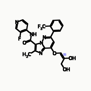 Cc1nc2c(O/C=C(/O)CO)cc(-c3ccccc3C(F)(F)F)nn2c1C(=O)Nc1ccncc1F